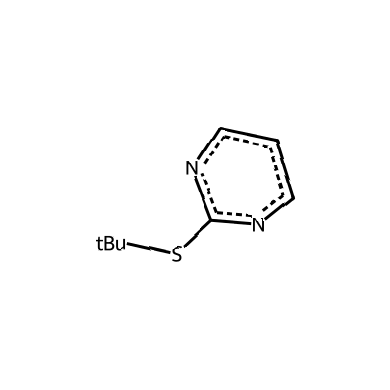 CC(C)(C)Sc1ncccn1